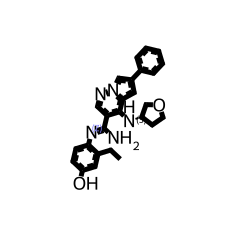 CCc1cc(O)ccc1/N=C(\N)c1cnn2cc(-c3ccccc3)cc2c1N[C@H]1CCOC1